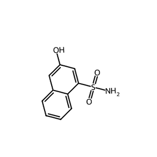 NS(=O)(=O)c1cc(O)cc2ccccc12